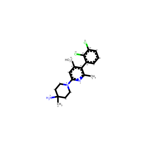 Cc1nc(N2CCC(C)(N)CC2)cc(C(=O)O)c1-c1cccc(Cl)c1Cl